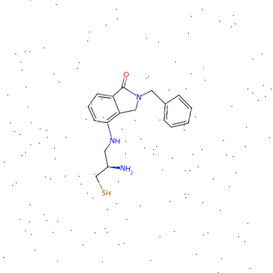 N[C@@H](CS)CNc1cccc2c1CN(Cc1ccccc1)C2=O